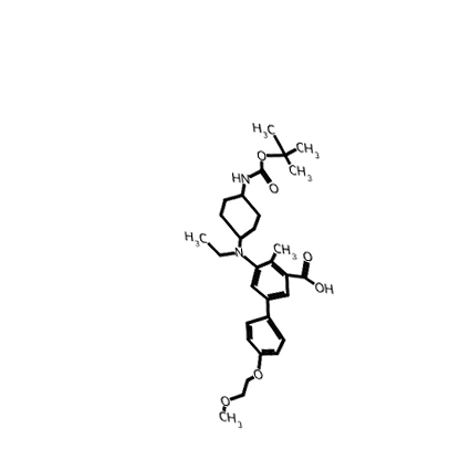 CCN(c1cc(-c2ccc(OCCOC)cc2)cc(C(=O)O)c1C)C1CCC(NC(=O)OC(C)(C)C)CC1